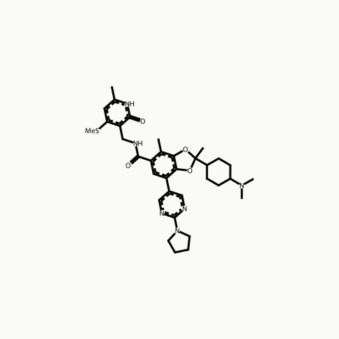 CSc1cc(C)[nH]c(=O)c1CNC(=O)c1cc(-c2cnc(N3CCCC3)nc2)c2c(c1C)OC(C)(C1CCC(N(C)C)CC1)O2